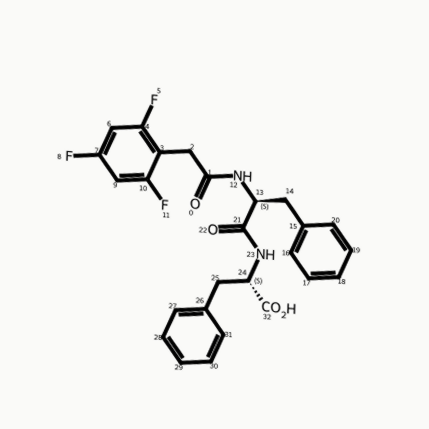 O=C(Cc1c(F)cc(F)cc1F)N[C@@H](Cc1ccccc1)C(=O)N[C@@H](Cc1ccccc1)C(=O)O